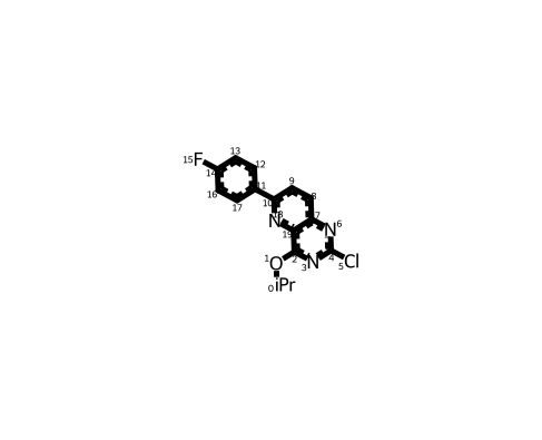 CC(C)Oc1nc(Cl)nc2ccc(-c3ccc(F)cc3)nc12